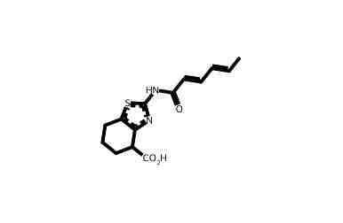 C/C=C/C=C/C(=O)Nc1nc2c(s1)CCCC2C(=O)O